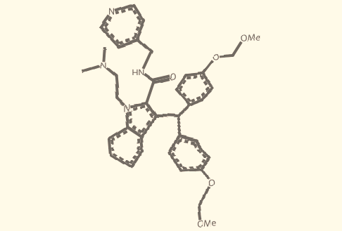 COCOc1ccc(C(c2ccc(OCOC)cc2)c2c(C(=O)NCc3ccncc3)n(CCN(C)C)c3ccccc23)cc1